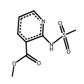 COC(=O)c1cccnc1NS(C)(=O)=O